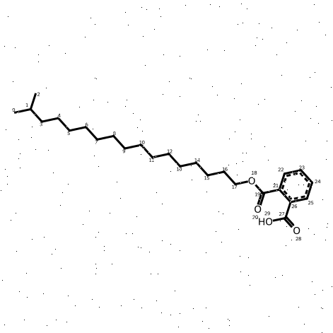 CC(C)CCCCCCCCCCCCCCCOC(=O)c1ccccc1C(=O)O